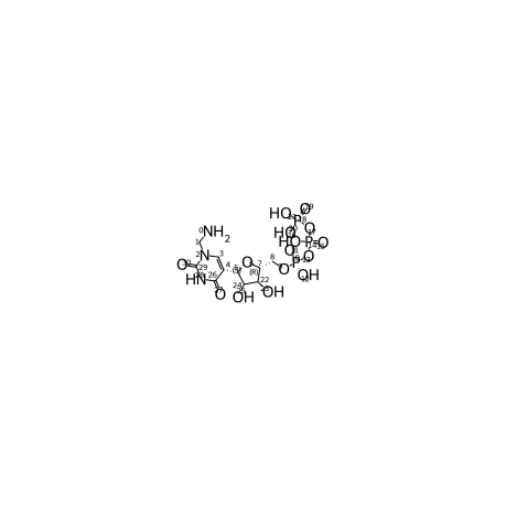 NCn1cc([C@@H]2O[C@H](COP(=O)(O)OP(=O)(O)OP(=O)(O)O)C(O)C2O)c(=O)[nH]c1=O